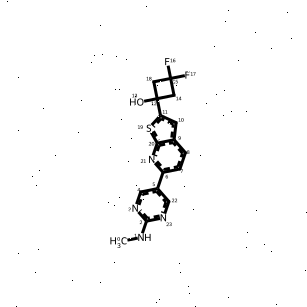 CNc1ncc(-c2ccc3cc(C4(O)CC(F)(F)C4)sc3n2)cn1